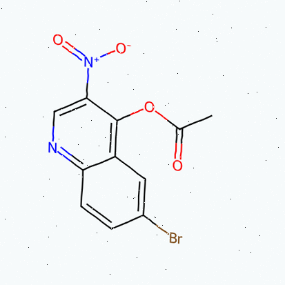 CC(=O)Oc1c([N+](=O)[O-])cnc2ccc(Br)cc12